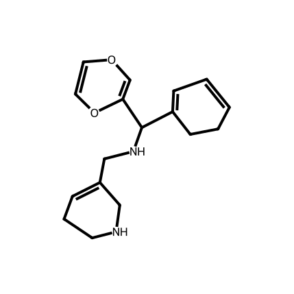 C1=CCCC(C(NCC2=CCCNC2)C2=COC=CO2)=C1